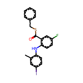 Cc1cc(I)ccc1Nc1ccc(F)cc1C(=O)SCc1ccccc1